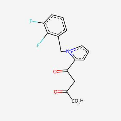 O=C(O)C(=O)CC(=O)c1cccn1Cc1cccc(F)c1F